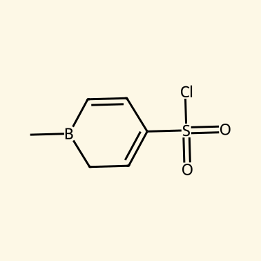 CB1C=CC(S(=O)(=O)Cl)=CC1